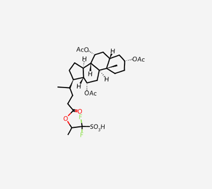 CC(=O)O[C@@H]1CC[C@@]2(C)[C@@H](C1)C[C@@H](OC(C)=O)[C@H]1[C@@H]3CC[C@H](C(C)CCC(=O)OC(C)C(F)(F)S(=O)(=O)O)[C@H]3[C@@H](OC(C)=O)C[C@@H]12